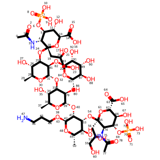 CC(=O)N[C@@H]1[C@@H](OP(=O)(O)O)[C@H](O)[C@@H](C(=O)O)O[C@]1(CC(O)CO)O[C@@H]1[C@@H](O)[C@H](C)O[C@@H](O[C@@H]2[C@@H](O)[C@H](C)O[C@@H](O[C@H]3[C@H](OCCCN)O[C@@H](C)[C@H](O)[C@H]3O[C@@]3(CC(O)CO)O[C@H](C(=O)O)[C@@H](O)[C@H](OP(=O)(O)O)[C@H]3NC(C)=O)[C@@H]2O)[C@@H]1O[C@@H]1O[C@@H](C)[C@H](O)[C@@H](O)[C@H]1O